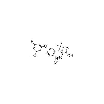 COc1cc(F)cc(Oc2ccc([N+](=O)[O-])c(C(NC(=O)O)C(C)(C)C)c2)c1